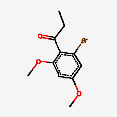 CCC(=O)c1c(Br)cc(OC)cc1OC